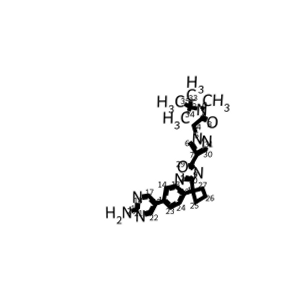 CN(C(=O)Cn1cc(-c2nc(C3(c4ccc(-c5cnc(N)nc5)cc4)CCC3)no2)cn1)C(C)(C)C